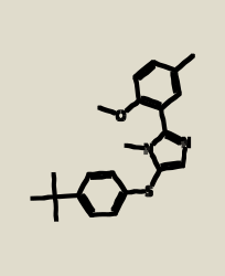 COc1ccc(C)cc1-c1ncc(Sc2ccc(C(C)(C)C)cc2)n1C